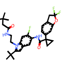 CC(C)(C)CC(=O)NCCn1c(C(C)(C)C)cc2cc(NC(=O)C3(c4ccc5c(c4)OC(F)(F)C5)CC3)c(F)cc21